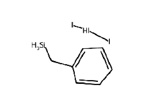 I[IH]I.[SiH3]Cc1ccccc1